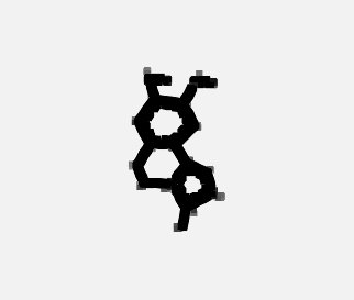 COc1cc2c(cc1OC)-c1cnc(C)n1CC2